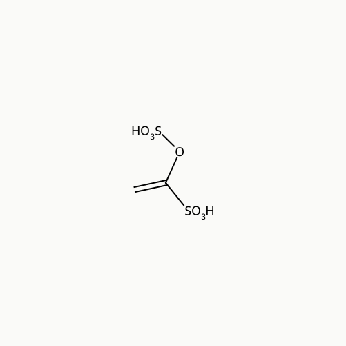 C=C(OS(=O)(=O)O)S(=O)(=O)O